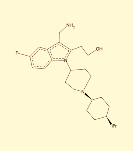 CC(C)[C@H]1CC[C@@H](N2CCC(n3c(CCO)c(CN)c4cc(F)ccc43)CC2)CC1